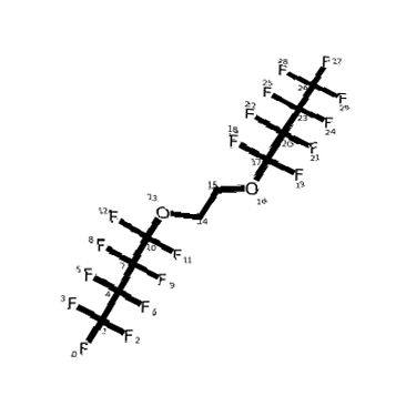 FC(F)(F)C(F)(F)C(F)(F)C(F)(F)OCCOC(F)(F)C(F)(F)C(F)(F)C(F)(F)F